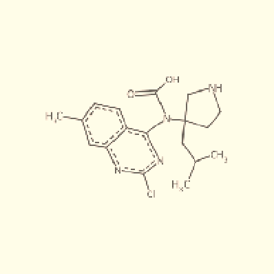 Cc1ccc2c(N(C(=O)O)C3(CC(C)C)CCNC3)nc(Cl)nc2c1